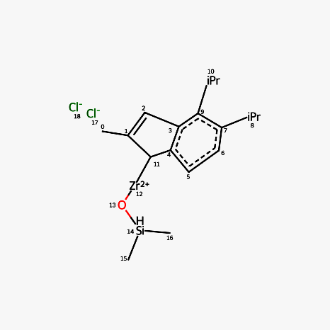 CC1=Cc2c(ccc(C(C)C)c2C(C)C)[CH]1[Zr+2][O][SiH](C)C.[Cl-].[Cl-]